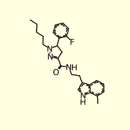 CCCCCN1N=C(C(=O)NCCc2c[nH]c3c(C)cccc23)CC1c1ccccc1F